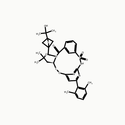 Cc1cccc(C)c1-c1cc2nc(n1)NS(=O)(=O)c1cccc(c1)C(=O)N(CC13CC(C(C)(C)O)(C1)C3)[C@H](CC(C)(C)C)CO2